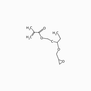 C=C(C)C(=O)OCCC(CC)OCC1CO1